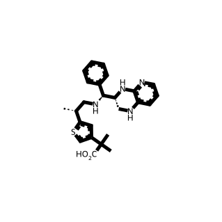 C[C@H](CN[C@H](c1ccccc1)[C@H]1CNc2cccnc2N1)c1cc(C(C)(C)C(=O)O)cs1